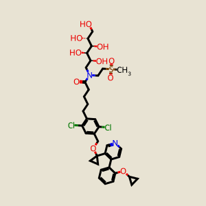 CS(=O)(=O)CCN(C[C@H](O)[C@@H](O)[C@H](O)[C@H](O)CO)C(=O)CCCCc1cc(Cl)c(COC2(c3cnccc3-c3ccccc3OC3CC3)CC2)cc1Cl